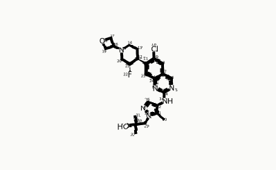 Cc1c(Nc2ncc3cc(Cl)c([C@@H]4CCN(C5COC5)C[C@H]4F)cc3n2)cnn1CC(C)(C)O